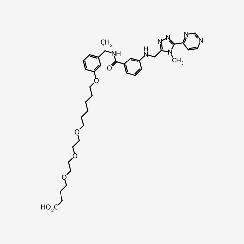 C[C@H](NC(=O)c1cccc(NCc2nnc(-c3ccncn3)n2C)c1)c1cccc(OCCCCCCOCCOCCOCCCC(=O)O)c1